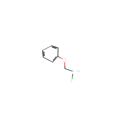 [F][InH][CH2]Oc1ccccc1